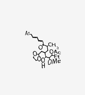 CCC(OC(C)=O)C(OC)C(O)C(CC1OCCO1)CC(C)C(=O)C=CC=CCC(C)=O